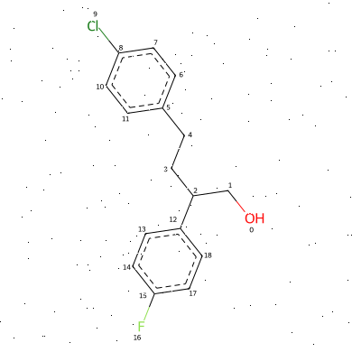 OCC(CCc1ccc(Cl)cc1)c1ccc(F)cc1